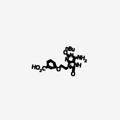 CCCCOc1nc(N)c2[nH]c(=O)n(CCOc3cccc(C(=O)O)c3)c2n1